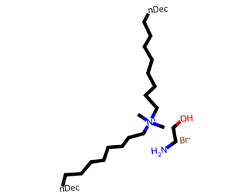 CCCCCCCCCCCCCCCCCC[N+](C)(C)CCCCCCCCCCCCCCCCCC.NCCO.[Br-]